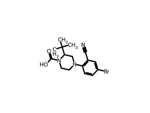 CC(C)(C)C1CN(c2ccc(Br)cc2C#N)CCN1C(=O)O